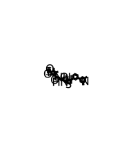 Cc1cc(-c2cccc(-c3csc(NC(=O)CNC(=O)c4cn(S(C)(=O)=O)c(C)c4C)n3)c2)cc(C)n1